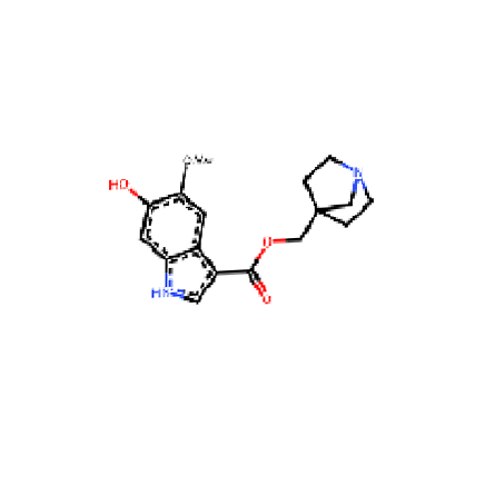 COc1cc2c(C(=O)OCC34CCN(CC3)C4)c[nH]c2cc1O